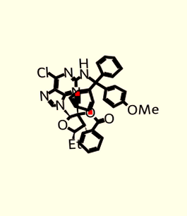 C#C[C@@]1(OC(=O)c2ccccc2)[C@H](C)[C@@H](CC)O[C@H]1n1cnc2c(Cl)nc(NC(c3ccccc3)(c3ccccc3)c3ccc(OC)cc3)nc21